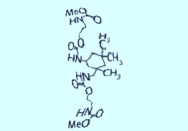 COC(=O)NCCOC(=O)NCC1(C)CC(NC(=O)OCCNC(=O)OC)CC(C)(C)C1